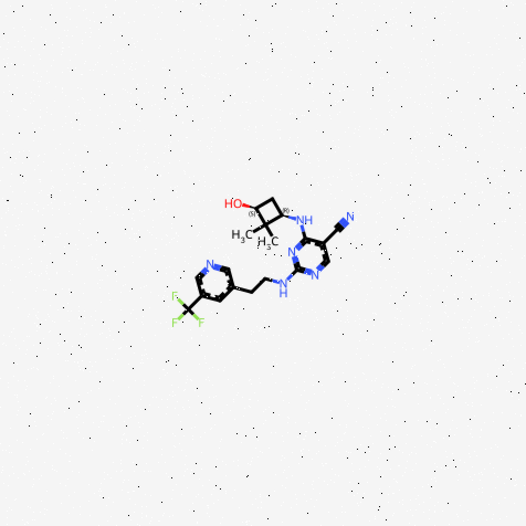 CC1(C)[C@@H](O)C[C@H]1Nc1nc(NCCc2cncc(C(F)(F)F)c2)ncc1C#N